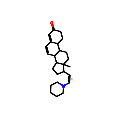 CC12CCC3C4CCC(=O)C=C4C=CC3C1CCC2/C=C\N1CCCCC1